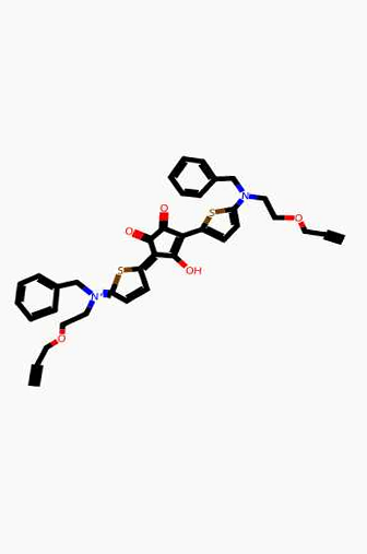 C#CCOCCN(Cc1ccccc1)c1ccc(C2=C(O)/C(=C3C=C/C(=[N+](\CCOCC#C)Cc4ccccc4)S\3)C(=O)C2=O)s1